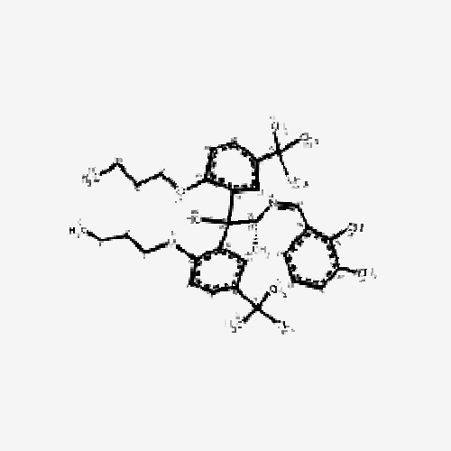 CCCCOc1ccc(C(C)(C)C)cc1C(O)(c1cc(C(C)(C)C)ccc1OCCCC)[C@@H](C)N=Cc1cccc(C)c1O